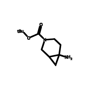 CC(C)(C)OC(=O)N1CCC2(N)CC2C1